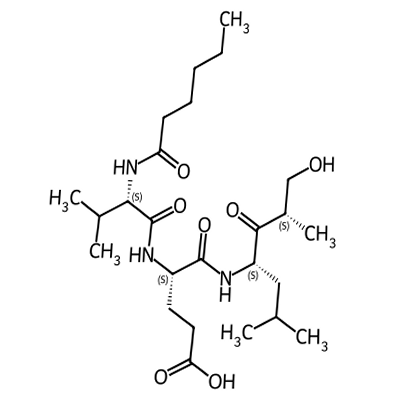 CCCCCC(=O)N[C@H](C(=O)N[C@@H](CCC(=O)O)C(=O)N[C@@H](CC(C)C)C(=O)[C@@H](C)CO)C(C)C